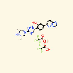 C[C@@H]1CN(c2ncc(-c3ccc(-c4ccc5nccn5n4)cc3O)nn2)C[C@H](C)N1.O=C(O)C(F)(F)F.O=C(O)C(F)(F)F